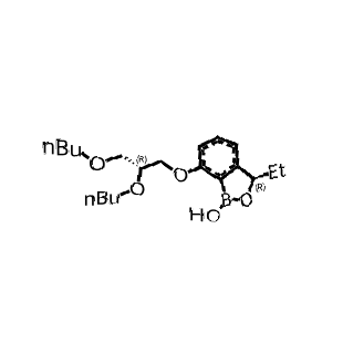 CCCCOC[C@H](COc1cccc2c1B(O)O[C@@H]2CC)OCCCC